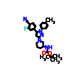 Cc1ccc(-n2nc(N3CCCC(NC(=O)OC(C)(C)C)C3)cc2-c2ccc(C#N)c(F)c2)cc1